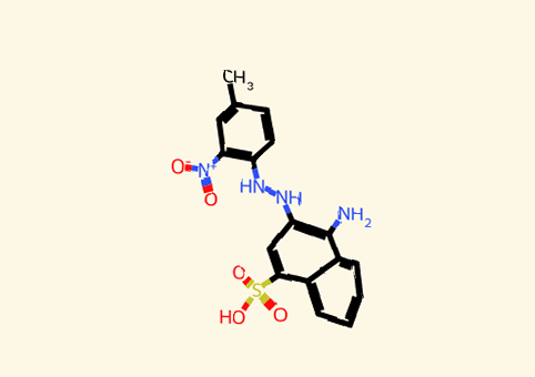 Cc1ccc(NNc2cc(S(=O)(=O)O)c3ccccc3c2N)c([N+](=O)[O-])c1